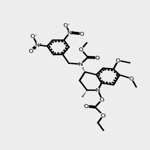 CCOC(=O)ON1c2cc(OC)c(OC)cc2[C@@H](N(Cc2cc([N+](=O)[O-])cc([N+](=O)[O-])c2)C(=O)OC)C[C@H]1C